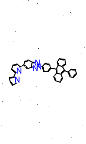 c1ccc(-c2c3ccccc3c(-c3ccc(-n4nc5ccc(-c6cccc(-c7ccccn7)n6)cc5n4)cc3)c3ccccc23)cc1